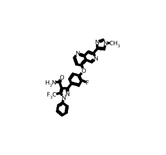 Cn1cnc(-c2cc3nccc(Oc4ccc(-c5nn(-c6ccccc6)c(C(F)(F)F)c5C(N)=O)cc4F)c3cn2)c1